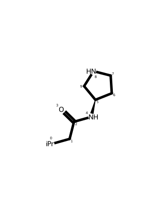 CC(C)CC(=O)N[C@@H]1CCNC1